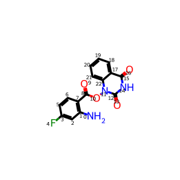 Nc1cc(F)ccc1C(=O)On1c(=O)[nH]c(=O)c2ccccc21